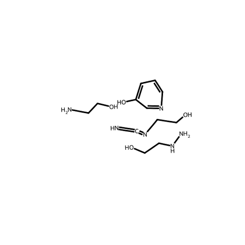 N=C=NCCO.NCCO.NNCCO.Oc1cccnc1